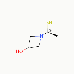 C[C@H](S)N1CC(O)C1